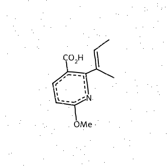 CC=C(C)c1nc(OC)ccc1C(=O)O